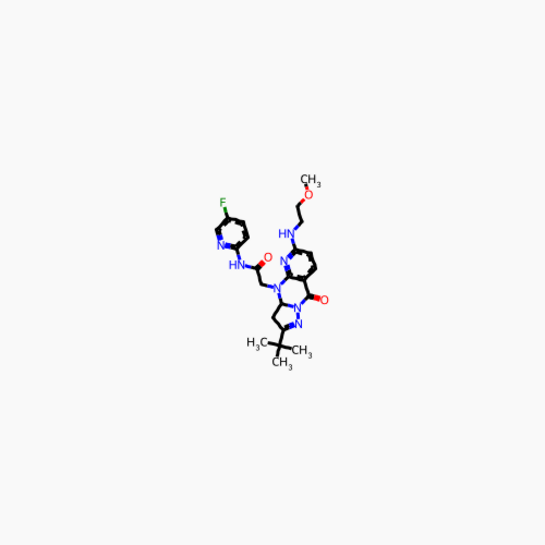 COCCNc1ccc2c(n1)N(CC(=O)Nc1ccc(F)cn1)C1CC(C(C)(C)C)=NN1C2=O